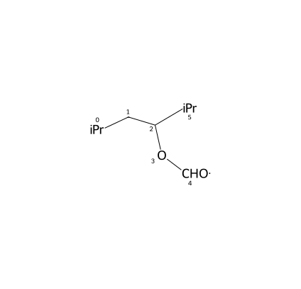 CC(C)CC(O[C]=O)C(C)C